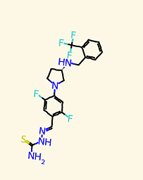 NC(=S)NN=Cc1cc(F)c(N2CC[C@H](NCc3ccccc3C(F)(F)F)C2)cc1F